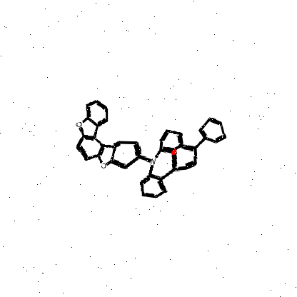 c1ccc(-c2ccc(-c3ccccc3N(c3ccccc3)c3ccc4c(c3)oc3ccc5oc6ccccc6c5c34)cc2)cc1